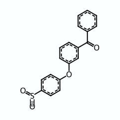 O=C(c1ccccc1)c1cccc(Oc2ccc([SH](=O)=O)cc2)c1